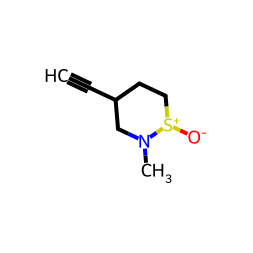 C#CC1CC[S+]([O-])N(C)C1